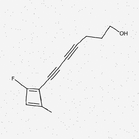 CC1=CC(F)=C1C#CC#CCCCO